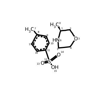 C[C@H]1COCCN1.Cc1ccc(S(=O)(=O)O)cc1